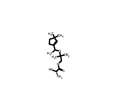 CC(OC(C)(C)COC(=O)[C@@H](C)O)C1=CC(C)(C)CC1